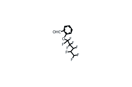 O=Cc1ccccc1OC(F)(F)C(F)(F)C(F)C(F)C(F)F